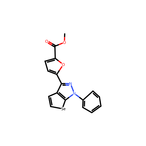 COC(=O)c1ccc(-c2nn(-c3ccccc3)c3[se]ccc23)o1